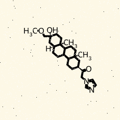 COC[C@@]1(O)CC[C@]2(C)C3CC[C@]4(C)C[C@@H](C(=O)Cn5ccnc5)CCC4C3CC[C@H]2C1